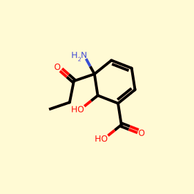 CCC(=O)C1(N)C=CC=C(C(=O)O)C1O